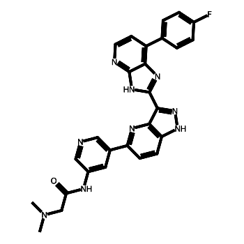 CN(C)CC(=O)Nc1cncc(-c2ccc3[nH]nc(-c4nc5c(-c6ccc(F)cc6)ccnc5[nH]4)c3n2)c1